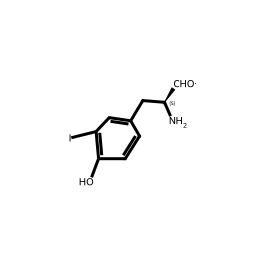 N[C@H]([C]=O)Cc1ccc(O)c(I)c1